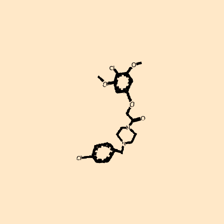 COc1cc(OCC(=O)N2CCN(Cc3ccc(Cl)cc3)CC2)cc(OC)c1Cl